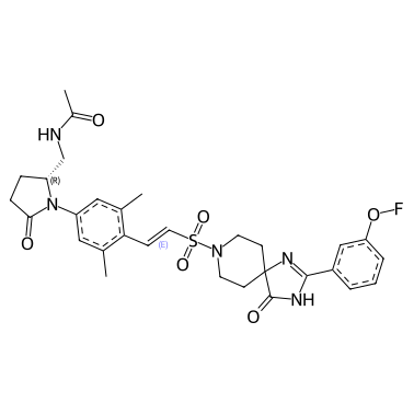 CC(=O)NC[C@H]1CCC(=O)N1c1cc(C)c(/C=C/S(=O)(=O)N2CCC3(CC2)N=C(c2cccc(OF)c2)NC3=O)c(C)c1